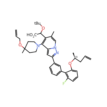 C=CCOC1(C)CCN(c2c(C(OC(C)(C)C)C(=O)O)c(C)cn3nc(-c4cccc(-c5c(F)cccc5O[C@@H](C)CC=C)c4)cc23)CC1